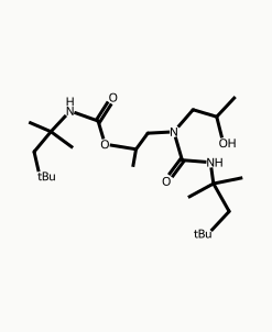 CC(O)CN(CC(C)OC(=O)NC(C)(C)CC(C)(C)C)C(=O)NC(C)(C)CC(C)(C)C